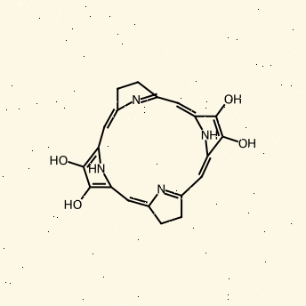 Oc1c(O)c2cc3nc(cc4[nH]c(cc5nc(cc1[nH]2)CC5)c(O)c4O)CC3